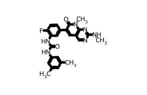 CNc1ncc2cc(-c3ccc(F)c(NC(=O)Nc4cc(C)cc(C)c4)c3)c(=O)n(C)c2n1